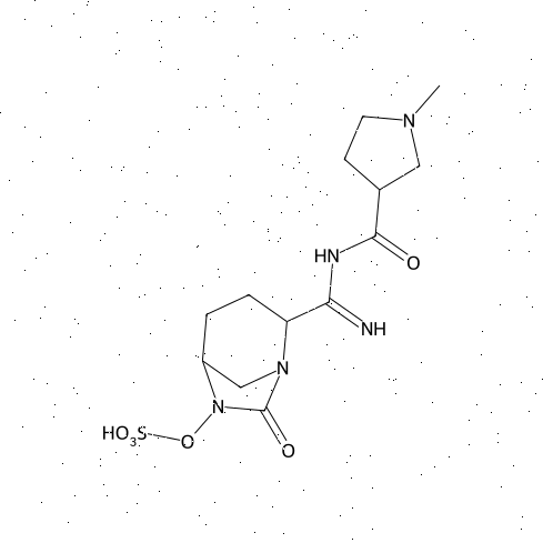 CN1CCC(C(=O)NC(=N)C2CCC3CN2C(=O)N3OS(=O)(=O)O)C1